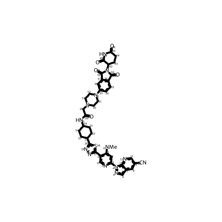 CNc1cc(-n2ncc3cc(C#N)cnc32)ncc1-c1nnc(C2CCC(NC(=O)CN3CCN(c4ccc5c(c4)C(=O)N(C4CCC(=O)NC4=O)C5=O)CC3)CC2)s1